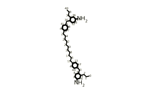 CCCc1cc(N)ccc1Cc1ccc(CCCCCCCCCCCc2ccc(Cc3ccc(N)cc3CCC)cc2)cc1